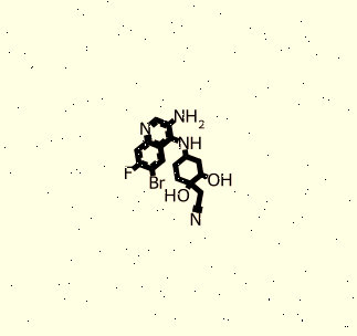 N#CCC1(O)CCC(Nc2c(N)cnc3cc(F)c(Br)cc23)CC1O